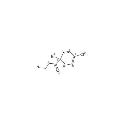 CCCC(=O)C1(Br)C=CC(Cl)=CC1